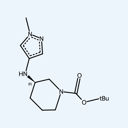 Cn1cc(N[C@@H]2CCCN(C(=O)OC(C)(C)C)C2)cn1